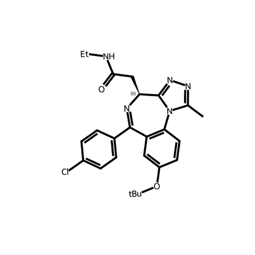 CCNC(=O)C[C@@H]1N=C(c2ccc(Cl)cc2)c2cc(OC(C)(C)C)ccc2-n2c(C)nnc21